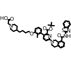 Cc1c(OCCCCC2CCN(CC(=O)O)CC2)cccc1-c1ccc(N2CCc3cccc(C(=O)Nc4nc5ccccc5s4)c3C2)nc1C(=O)OC(C)(C)C